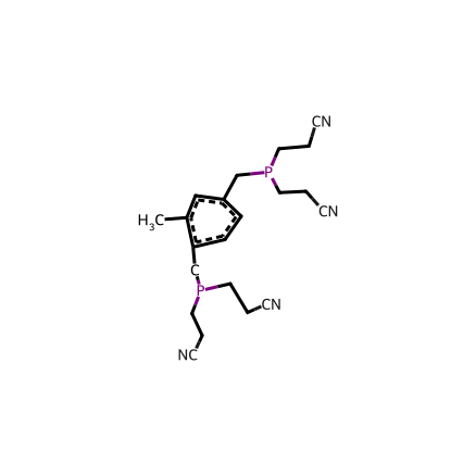 Cc1cc(CP(CCC#N)CCC#N)ccc1CP(CCC#N)CCC#N